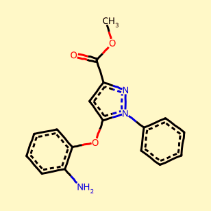 COC(=O)c1cc(Oc2ccccc2N)n(-c2ccccc2)n1